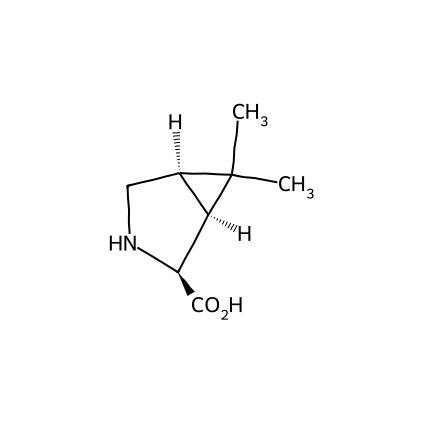 CC1(C)[C@H]2[C@@H](C(=O)O)NC[C@H]21